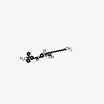 CCCCCCCCCCCCCCCC(CC(=O)O)CC(=O)Nc1ccc(COC(=O)/C=C/c2ccc(/C(=C(/CC)c3ccccc3)c3ccccc3)cc2)cc1